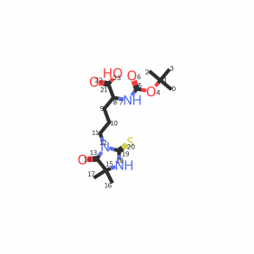 CC(C)(C)OC(=O)NC(CCCN1C(=O)C(C)(C)NC1=S)C(=O)O